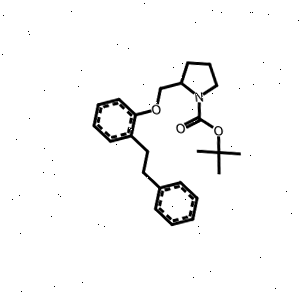 CC(C)(C)OC(=O)N1CCCC1COc1ccccc1CCc1ccccc1